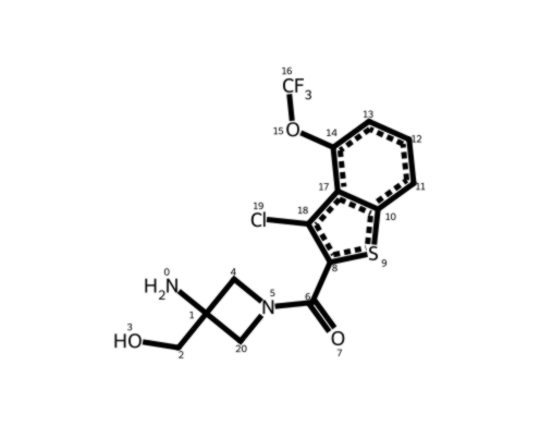 NC1(CO)CN(C(=O)c2sc3cccc(OC(F)(F)F)c3c2Cl)C1